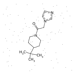 CC(C)(C)C1CCN(C(=O)Cn2ccnc2)CC1